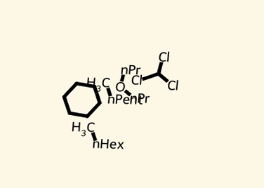 C1CCCCC1.CCCCCC.CCCCCCC.CCCOCCC.ClC(Cl)Cl